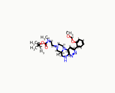 COCOc1ccccc1-c1cc2c(nn1)NC[C@H]1CN(CCN(C)C(=O)OC(C)(C)C)CCN21